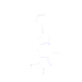 CCc1nc(C)c(C(=O)O)n1Cc1cc(-c2ccc(Cl)s2)on1